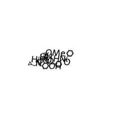 CO[C@]12CC[C@@]3(C[C@@H]1COCc1cccc(NC(=O)c4ccccc4)c1)[C@H]1Cc4ccc(O)c5c4[C@@]3(CCN1CC1CC1)[C@H]2O5